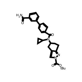 CC(C)(C)OC(=O)n1cc2c(n1)CCC(N(C(=O)c1ccc(-c3cccc(C(N)=O)c3)cc1)C1CC1)C2